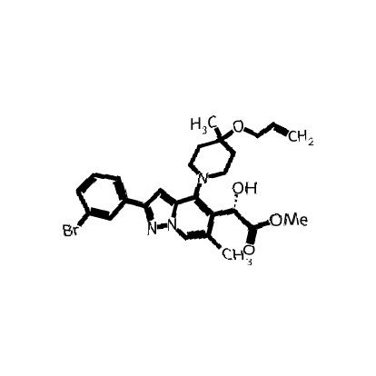 C=CCOC1(C)CCN(c2c([C@H](O)C(=O)OC)c(C)cn3nc(-c4cccc(Br)c4)cc23)CC1